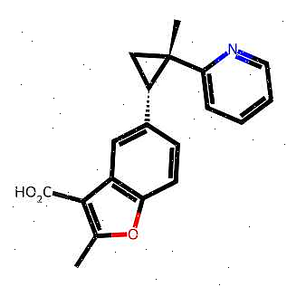 Cc1oc2ccc([C@@H]3C[C@]3(C)c3ccccn3)cc2c1C(=O)O